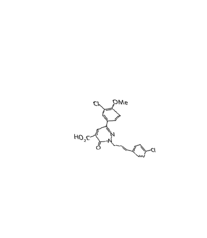 COc1ccc(-c2cc(C(=O)O)c(=O)n(C/C=C/c3ccc(Cl)cc3)n2)cc1Cl